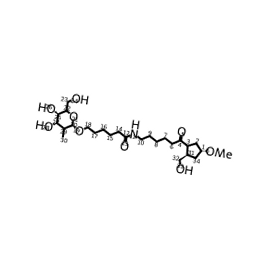 CO[C@H]1CC(C(=O)CCCCCNC(=O)CCCCCO[C@@H]2OC(CO)[C@H](O)[C@H](O)C2C)[C@H](CO)C1